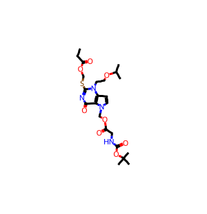 CCC(=O)OCSc1nc(=O)c2c(ccn2COC(=O)CNC(=O)OC(C)(C)C)n1CCOC(C)C